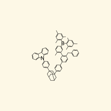 Cc1cc(C)c(B(c2ccc(C)c(-c3cc(-c4ccc(C56CC7CC(C5)CC(c5ccc(-n8c9ccccc9c9ccccc98)cc5)(C7)C6)cc4)ccc3Cc3ccccc3)c2)c2c(C)cc(C)cc2C)c(C)c1